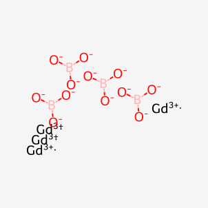 [Gd+3].[Gd+3].[Gd+3].[Gd+3].[O-]B([O-])[O-].[O-]B([O-])[O-].[O-]B([O-])[O-].[O-]B([O-])[O-]